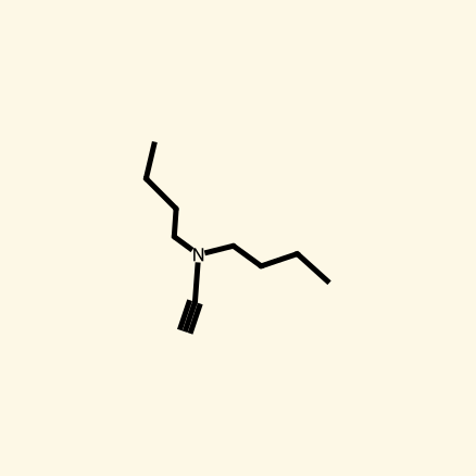 C#CN(CCCC)CCCC